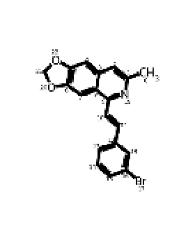 Cc1cc2cc3c(cc2c(/C=C/c2cccc(Br)c2)n1)OCO3